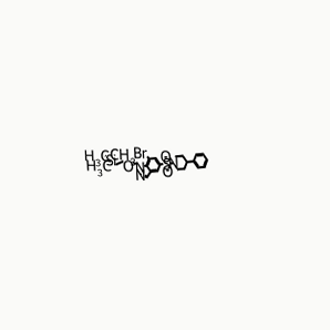 C[Si](C)(C)CCOCn1ncc2cc(S(=O)(=O)N3CCC(c4ccccc4)CC3)cc(Br)c21